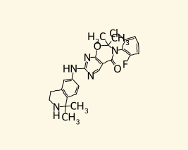 CC1(C)NCCc2cc(Nc3ncc4c(n3)OC(C)(C)N(c3c(F)cccc3Cl)C4=O)ccc21